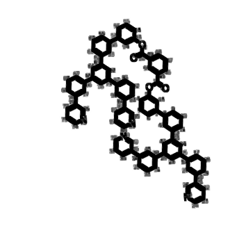 O=C(Oc1cccc(-c2cccc(-c3cc(-c4cccc(-c5cccnc5)c4)cc(-c4cccc(-c5cccnc5)c4)c3)c2)c1)c1cccc(C(=O)Oc2cccc(-c3cccc(-c4cc(-c5cccc(-c6cccnc6)c5)cc(-c5cccc(-c6cccnc6)c5)c4)c3)c2)c1